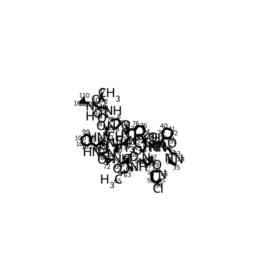 CCC[C@H](NC(=O)[C@@H]1C[C@@H](Oc2nc(C(F)(F)F)nc3c(C(C)(C)[C@H](NC(=O)[C@@H](NC(=O)c4cnccn4)C4CCCCC4)C(=O)N4C[C@H](Oc5ccc(Cl)cn5)C[C@H]4C(=O)N[C@@H](CCC)C(=O)C(=O)NC4CC4)cccc23)CN1C(=O)[C@H](C)NC(=O)[C@@H](NC(=O)c1cnccn1)C1CCCCC1)C(=O)C(=O)NC1CC1